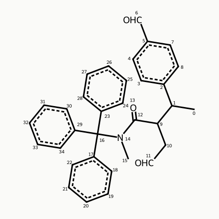 CC(c1ccc(C=O)cc1)C(CC=O)C(=O)N(C)C(c1ccccc1)(c1ccccc1)c1ccccc1